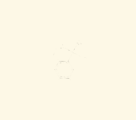 CC(=O)[O-].CCCC[N+](CCCC)(CCCC)c1ccccc1